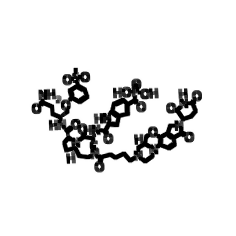 CS(=O)(=O)c1cccc(OC[C@H](CCC(N)=O)NC(=O)[C@@H]2CC[C@@H]3CCN(C(=O)CCCCN4CCN5c6ccc7c(c6OC[C@H]5C4)CN([C@H]4CCC(=O)NC4=O)C7=O)C[C@H](NC(=O)c4cc5cc(C(=O)P(=O)(O)O)ccc5[nH]4)C(=O)N32)c1